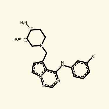 N[C@@H]1CCN(Cc2ccn3ncnc(Nc4cccc(Cl)c4)c23)C[C@@H]1O